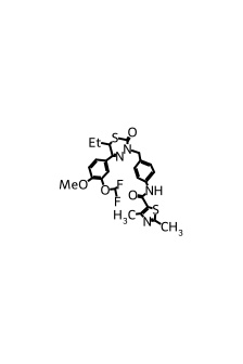 CCC1SC(=O)N(Cc2ccc(NC(=O)c3sc(C)nc3C)cc2)N=C1c1ccc(OC)c(OC(F)F)c1